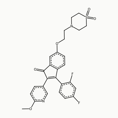 COc1ccc(C2=C(c3ccc(F)cc3F)c3ccc(OCCN4CCS(=O)(=O)CC4)cc3C2=O)cn1